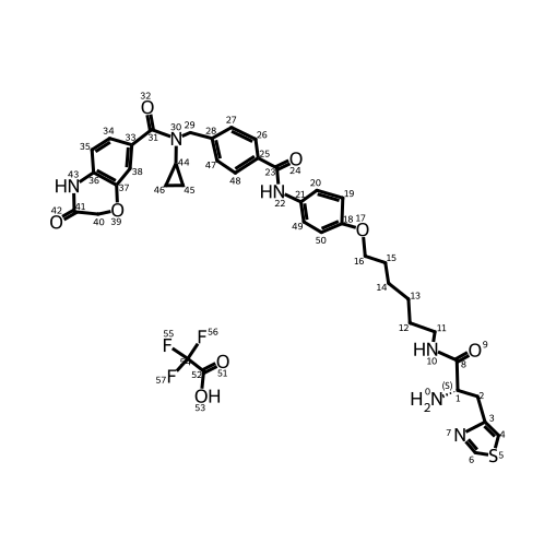 N[C@@H](Cc1cscn1)C(=O)NCCCCCCOc1ccc(NC(=O)c2ccc(CN(C(=O)c3ccc4c(c3)OCC(=O)N4)C3CC3)cc2)cc1.O=C(O)C(F)(F)F